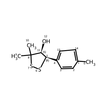 Cc1ccc([C@H]2SSC(C)(C)[C@H]2O)cc1